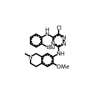 COc1cc2c(cc1Nc1nnc(Cl)c(Nc3ccccc3C(C)(C)C)n1)CN(C)CC2